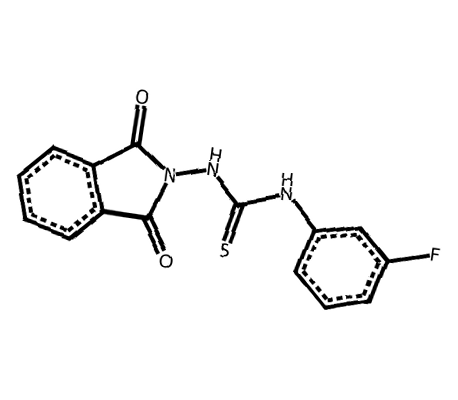 O=C1c2ccccc2C(=O)N1NC(=S)Nc1cccc(F)c1